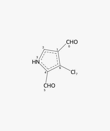 O=Cc1c[nH]c(C=O)c1Cl